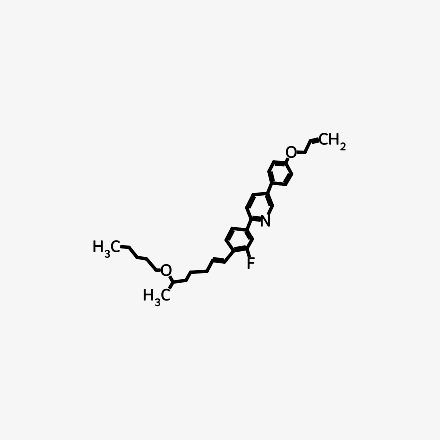 C=CCOc1ccc(-c2ccc(-c3ccc(C=CCCCC(C)OCCCCC)c(F)c3)nc2)cc1